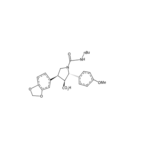 CCCCNC(=O)N1C[C@H](c2ccc3c(c2)OCO3)[C@H](C(=O)O)[C@H]1c1ccc(OC)cc1